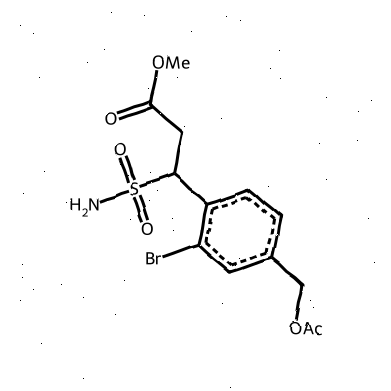 COC(=O)CC(c1ccc(COC(C)=O)cc1Br)S(N)(=O)=O